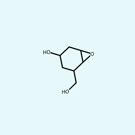 OCC1CC(O)CC2OC12